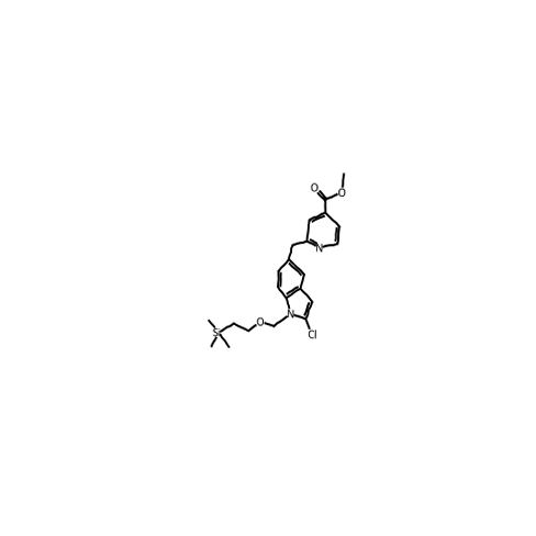 COC(=O)c1ccnc(Cc2ccc3c(c2)cc(Cl)n3COCC[Si](C)(C)C)c1